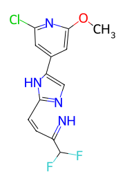 COc1cc(-c2cnc(/C=C\C(=N)C(F)F)[nH]2)cc(Cl)n1